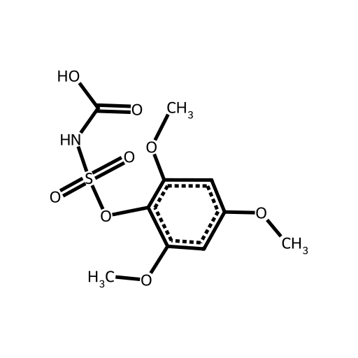 COc1cc(OC)c(OS(=O)(=O)NC(=O)O)c(OC)c1